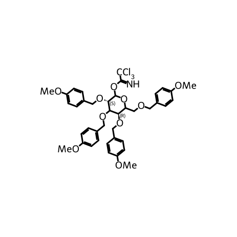 COc1ccc(COCC2OC(OC(=N)C(Cl)(Cl)Cl)[C@@H](OCc3ccc(OC)cc3)C(OCc3ccc(OC)cc3)[C@@H]2OCc2ccc(OC)cc2)cc1